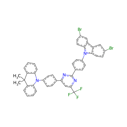 CC1(C)c2ccccc2N(c2ccc(-c3cc(C(F)(F)F)nc(-c4ccc(-n5c6ccc(Br)cc6c6cc(Br)ccc65)cc4)n3)cc2)c2ccccc21